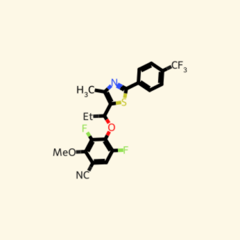 CCC(Oc1c(F)cc(C#N)c(OC)c1F)c1sc(-c2ccc(C(F)(F)F)cc2)nc1C